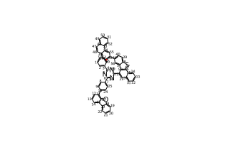 c1ccc(-c2nc(-c3ccc(-c4cccc5c4oc4ccccc45)cc3)nc(-c3cc4ccccc4c4sc5ccc(-c6ccc7ccc8ccccc8c7c6)cc5c34)n2)cc1